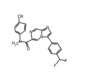 CN(C(=O)c1cn2c(-c3ccc(C(F)F)cc3)cnc2cn1)c1ccc(C#N)cc1